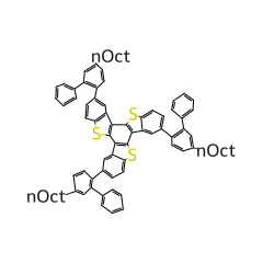 CCCCCCCCc1ccc(-c2ccc3sc4c(c3c2)c2sc3ccc(-c5ccc(CCCCCCCC)cc5-c5ccccc5)cc3c2c2sc3ccc(-c5ccc(CCCCCCCC)cc5-c5ccccc5)cc3c42)c(-c2ccccc2)c1